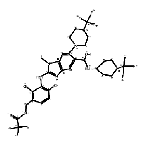 Cn1c(Nc2c(Cl)ccc(CNC(=O)C(C)(C)C)c2Cl)nc2cc(C(O)N[C@H]3CC[C@H](C(F)(F)F)CC3)c(N3CCC(C(F)(F)F)CC3)cc21